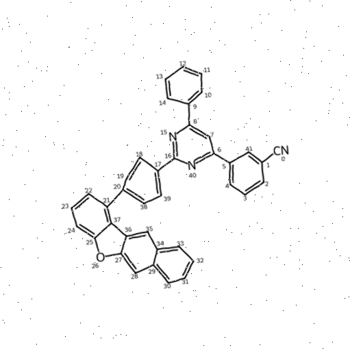 N#Cc1cccc(-c2cc(-c3ccccc3)nc(-c3ccc(-c4cccc5oc6cc7ccccc7cc6c45)cc3)n2)c1